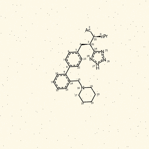 CCC[C@H](C(C)=O)[C@H](Cc1ccc(-c2ccccc2CN2CCCCC2)cc1)c1nn[nH]n1